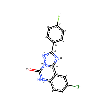 O=c1[nH]c2ccc(Cl)cc2c2nc(-c3ccc(F)cc3)nn12